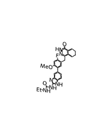 CCNC(=O)Nc1nc2cc(-c3cc(Cc4n[nH]c(=O)c5c4=CCCC=5)c(F)cc3OC)ccc2[nH]1